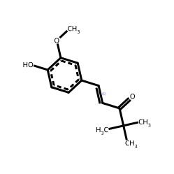 COc1cc(/C=C/C(=O)C(C)(C)C)ccc1O